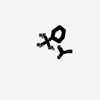 C[N+](C)(C)c1ccccc1.O=C([O-])O